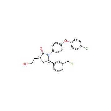 O=C1[C@H](CCO)C[C@H](c2cccc(CF)c2)N1c1ccc(Oc2ccc(Cl)cc2)cc1